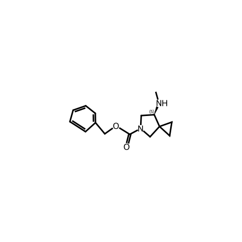 CN[C@@H]1CN(C(=O)OCc2ccccc2)CC12CC2